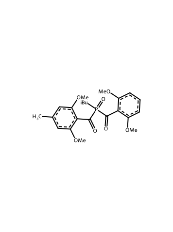 CCC(C)P(=O)(C(=O)c1c(OC)cccc1OC)C(=O)c1c(OC)cc(C)cc1OC